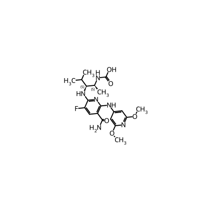 COc1cc(Nc2nc(N[C@@H](C(C)C)[C@H](C)NC(=O)O)c(F)cc2C(N)=O)cc(OC)n1